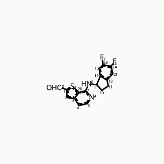 O=Cc1cc2ccnc(N[C@@H]3CCc4cc(F)c(F)cc43)c2s1